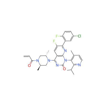 C=CC(=O)N1C[C@H](C)N(c2nc(=O)n(-c3c(C)ccnc3C(C)C)c3nc(-c4cc(Cl)ccc4F)c(F)cc23)C[C@H]1C